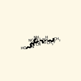 C=C/C(F)=C\C=C(/C)Nc1nc(CSc2nc(N)c(C#N)c(-c3ccc(CCCO)nc3)c2C#N)cs1